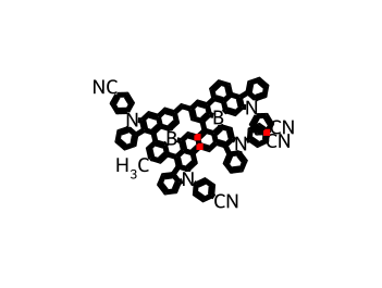 Cc1cc2c3c(c1)-c1c4c(cc(Cc5cc6c7c(c5)-c5cccc8c5c(cc5c8c8ccccc8n5-c5ccc(C#N)cc5)B7c5cc7c(c8cccc-6c58)c5ccccc5n7-c5ccc(C#N)cc5)cc4cc4c1c1ccccc1n4-c1ccc(C#N)cc1)B3c1cccc3cc4c(c-2c13)c1ccccc1n4-c1ccc(C#N)cc1